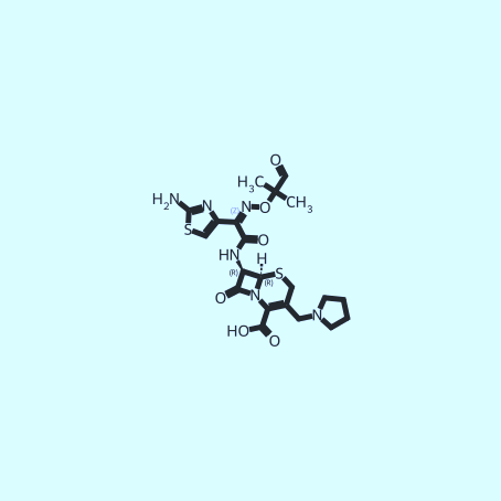 CC(C)(C=O)O/N=C(\C(=O)N[C@@H]1C(=O)N2C(C(=O)O)=C(CN3CCCC3)CS[C@H]12)c1csc(N)n1